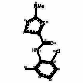 CNc1ncc(C(=O)Nc2c(C)cccc2Cl)s1